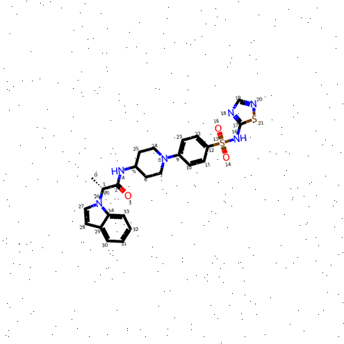 C[C@H](C(=O)NC1CCN(c2ccc(S(=O)(=O)Nc3ncns3)cc2)CC1)n1ccc2ccccc21